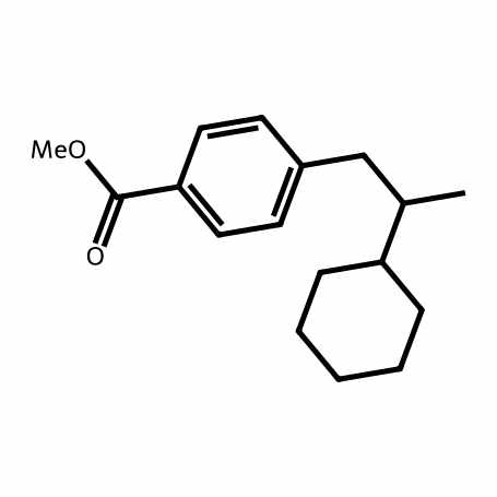 COC(=O)c1ccc(CC(C)C2CCCCC2)cc1